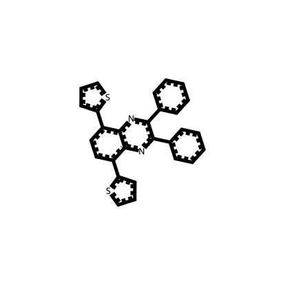 c1ccc(-c2nc3c(-c4cccs4)ccc(-c4cccs4)c3nc2-c2ccccc2)cc1